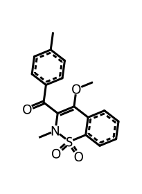 COC1=C(C(=O)c2ccc(C)cc2)N(C)S(=O)(=O)c2ccccc21